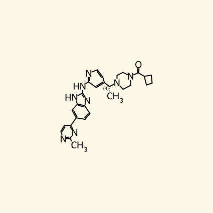 Cc1nccc(-c2ccc3nc(Nc4cc([C@@H](C)N5CCN(C(=O)C6CCC6)CC5)ccn4)[nH]c3c2)n1